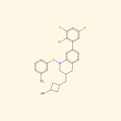 CCCC1CC(CC2Cc3ccc(-c4cc(F)cc(F)c4Cl)cc3N(Sc3cccc(C(F)(F)F)c3)C2)C1